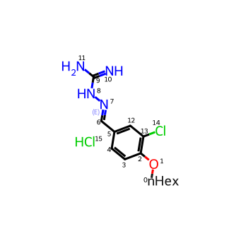 CCCCCCOc1ccc(/C=N/NC(=N)N)cc1Cl.Cl